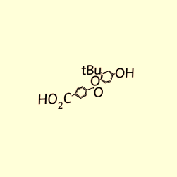 CC(C)(C)c1cc(O)ccc1OC(=O)c1ccc(C(=O)O)cc1